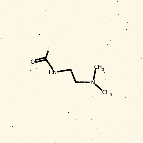 CN(C)CCNC(=O)I